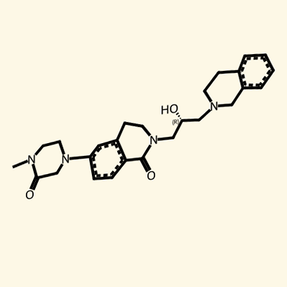 CN1CCN(c2ccc3c(c2)CCN(C[C@H](O)CN2CCc4ccccc4C2)C3=O)CC1=O